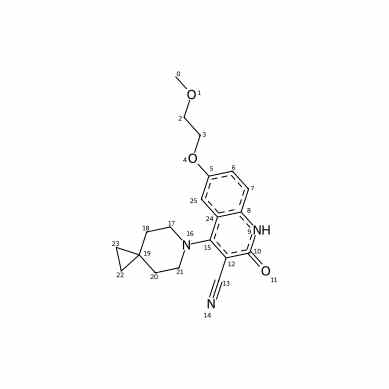 COCCOc1ccc2[nH]c(=O)c(C#N)c(N3CCC4(CC3)CC4)c2c1